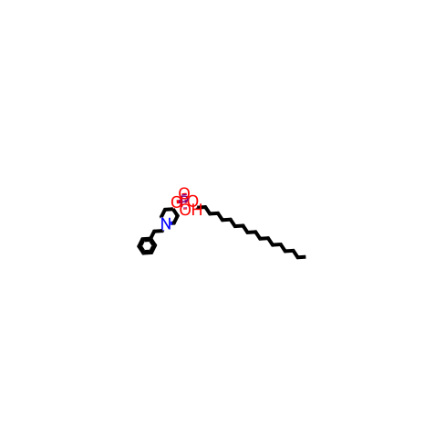 CCCCCCCCCCCCCCCCCCOP(=O)(O)OC1CCN(CCc2ccccc2)CC1